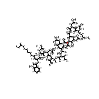 CCC(C)CCCCCCC(=O)NC(Cc1c[nH]c2ccccc12)C(=O)NC(CC(N)=O)C(=O)NC(CC(=O)O)C(=O)NC(C(=O)NC)C(C)OC(=O)C(NC(=O)C(NC(=O)C(CC(N)=O)NC(=O)CNC(=O)C(CC(=O)O)NC(=O)C(C)NC(=O)C(CC(=O)O)NC(=O)C(CCCN)NC=O)C(C)CC(=O)O)C(C)CC